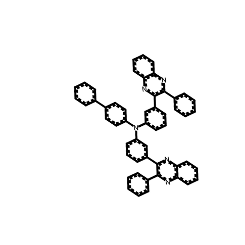 c1ccc(-c2ccc(N(c3cccc(-c4nc5ccccc5nc4-c4ccccc4)c3)c3cccc(-c4nc5ccccc5nc4-c4ccccc4)c3)cc2)cc1